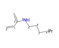 C=CC(=C)NCCCC(C)C